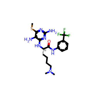 CSc1nc(N)nc(N[C@@H](CCCCN(C)C)C(=O)Nc2cccc(C(F)(F)F)c2)c1N